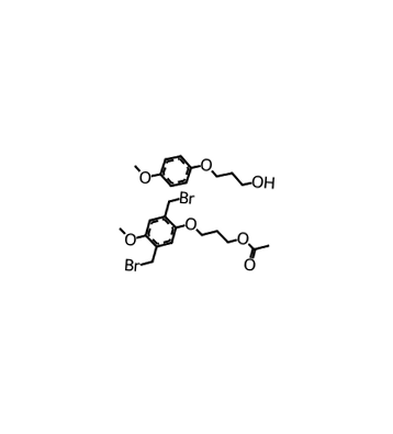 COc1cc(CBr)c(OCCCOC(C)=O)cc1CBr.COc1ccc(OCCCO)cc1